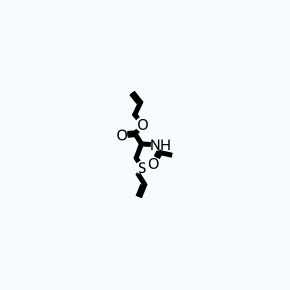 C=CCOC(=O)C(CSCC=C)NC(C)=O